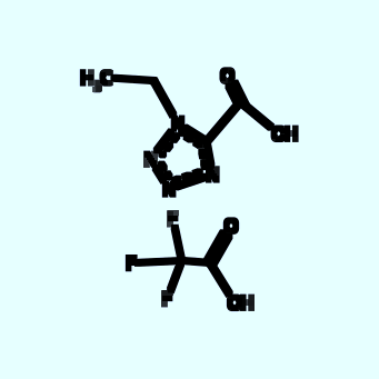 CCn1nnnc1C(=O)O.O=C(O)C(F)(F)F